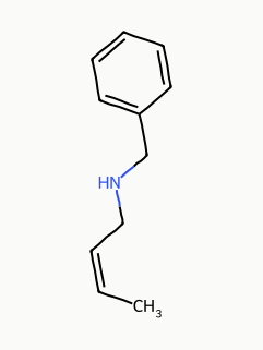 C/C=C\CNCc1ccccc1